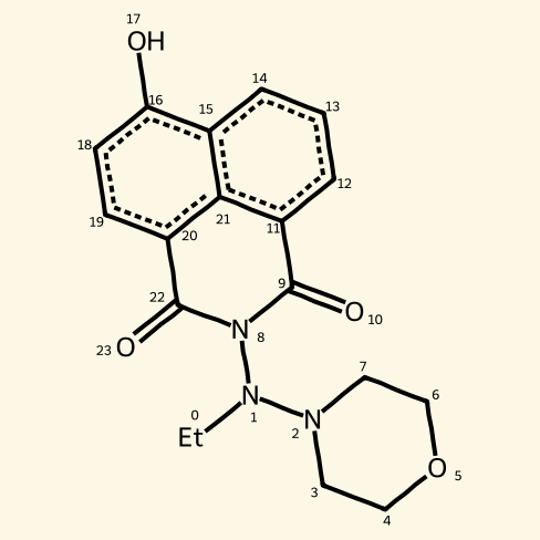 CCN(N1CCOCC1)N1C(=O)c2cccc3c(O)ccc(c23)C1=O